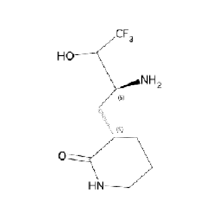 N[C@@H](C[C@@H]1CCCNC1=O)C(O)C(F)(F)F